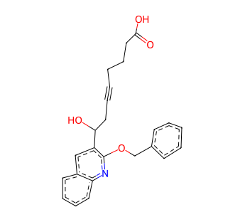 O=C(O)CCCC#CCC(O)c1cc2ccccc2nc1OCc1ccccc1